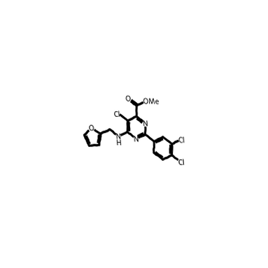 COC(=O)c1nc(-c2ccc(Cl)c(Cl)c2)nc(NCc2ccco2)c1Cl